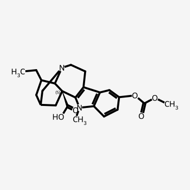 CCC1CC2CN3CCc4c(n(C)c5ccc(OC(=O)OC)cc45)[C@](C(=O)O)(C2)C13